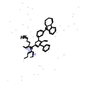 C=CC1=C(c2ccccc2)C=C(N(C(/C=C\C)=C/CC)/C(=C/C)CCC=N)CC1c1cccc(N2c3ccccc3C3C=CCC=CC32)c1